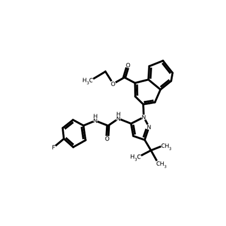 CCOC(=O)c1cc(-n2nc(C(C)(C)C)cc2NC(=O)Nc2ccc(F)cc2)cc2ccccc12